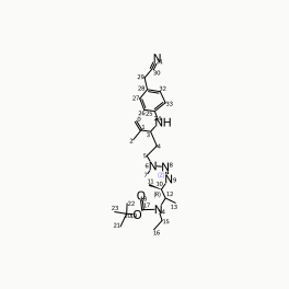 C=C(C)C(CCN(C)/N=N\[C@H](C)C(C)N(CC)C(=O)OC(C)(C)C)Nc1ccc(CC#N)cc1